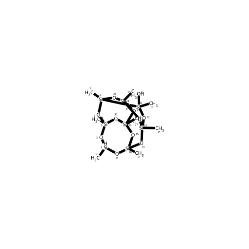 C[SiH]1O[Si]2(C)O[Si]3(C)O[Si](C)(O)O[Si]4(C)O[Si](C)(O1)O[Si](C)(O2)O[Si](C)(O3)O4